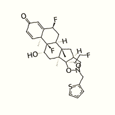 C[C@]12C[C@H](O)[C@@]3(F)[C@@H](C[C@H](F)C4=CC(=O)C=C[C@@]43C)[C@]1(C)C[C@H]1CN(Cc3cccs3)O[C@]12C(=O)CF